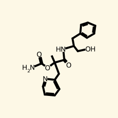 CC(Cc1ccccn1)(OC(N)=O)C(=O)NC(CO)Cc1ccccc1